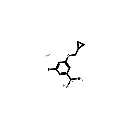 C[C@H](N)c1cc(F)cc(OCC2CC2)c1.Cl